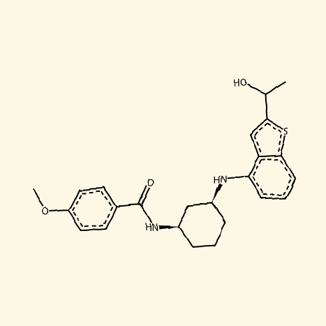 COc1ccc(C(=O)N[C@@H]2CCC[C@H](Nc3cccc4sc(C(C)O)cc34)C2)cc1